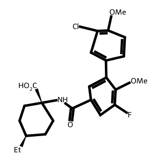 CC[C@H]1CC[C@@](NC(=O)c2cc(F)c(OC)c(-c3ccc(OC)c(Cl)c3)c2)(C(=O)O)CC1